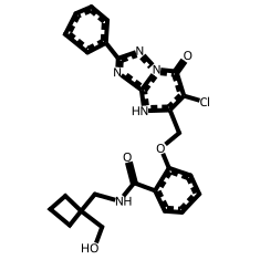 O=C(NCC1(CO)CCC1)c1ccccc1OCc1[nH]c2nc(-c3ccccc3)nn2c(=O)c1Cl